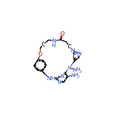 Nc1cnc2nc1N(N)c1cnn(c1)CCC(=O)NCCCOc1ccc(cc1)N2